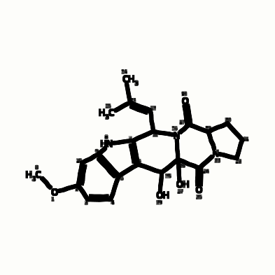 COc1ccc2c3c([nH]c2c1)C(C=C(C)C)N1C(=O)C2CCCN2C(=O)C1(O)C3O